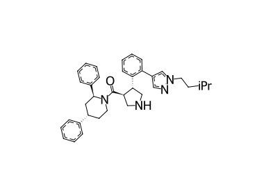 CC(C)CCn1cc(-c2ccccc2[C@@H]2CNC[C@H]2C(=O)N2CC[C@H](c3ccccc3)C[C@H]2c2ccccc2)cn1